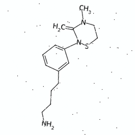 C=C1N(C)CCSN1c1cccc(CCCCN)c1